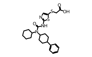 O=C(O)CSc1cnc(NC(=O)N(C2CCCCC2)C2CCC(c3ccccc3)CC2)s1